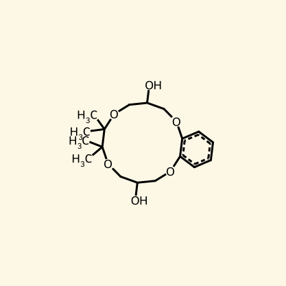 CC1(C)OCC(O)COc2ccccc2OCC(O)COC1(C)C